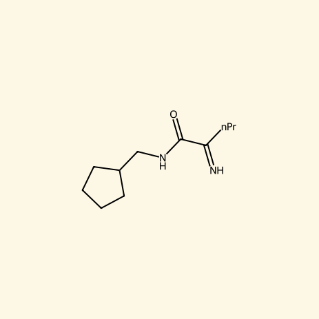 CCCC(=N)C(=O)NCC1CCCC1